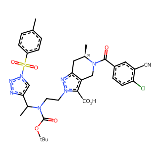 Cc1ccc(S(=O)(=O)n2cc(C(C)N(CCn3nc4c(c3C(=O)O)CN(C(=O)c3ccc(Cl)c(C#N)c3)[C@H](C)C4)C(=O)OC(C)(C)C)nn2)cc1